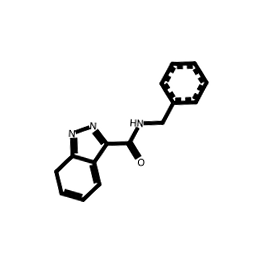 O=C(NCc1ccccc1)C1=NN=C2CC=CC=C21